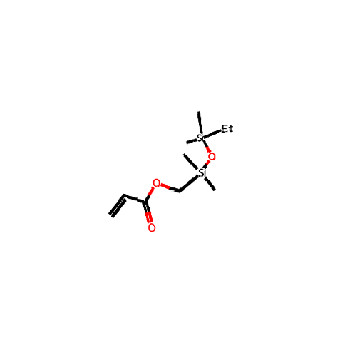 C=CC(=O)OC[Si](C)(C)O[Si](C)(C)CC